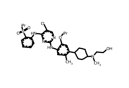 Cc1cc(Nc2ncc(Cl)c(Nc3ccccc3S(=O)(=O)C(C)C)n2)c(OC(C)C)cc1C1CCC(N(C)CCO)CC1